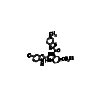 CCOC(=O)[C@H]1CC[C@@H](NC(=O)c2cc3cc(Cl)ccc3[nH]2)[C@H](NC(=O)c2nc3c(s2)CN(C)CC3)C1